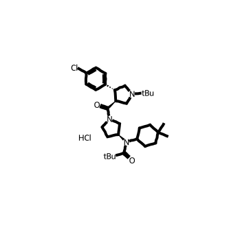 CC1(C)CCC(N(C(=O)C(C)(C)C)[C@H]2CCN(C(=O)[C@@H]3CN(C(C)(C)C)C[C@H]3c3ccc(Cl)cc3)C2)CC1.Cl